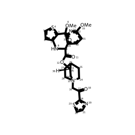 COC(=O)c1sccc1NC(C(=O)O[C@H]1C[N+]2(CC(=O)c3nccs3)CCC1CC2)c1ccc(OC)nc1